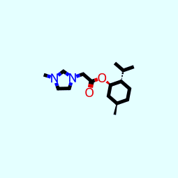 CC(C)[C@@H]1CC[C@@H](C)C[C@H]1OC(=O)CN1CCN(C)C1